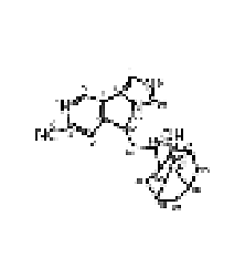 N#Cc1cc2c(cn1)-c1cncn1C2CC(O)C12CC3CC(CC(C3)C1)C2